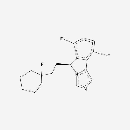 Fc1ccc(F)c2c1-c1cncn1[C@H]2CCC1(F)CCCCC1